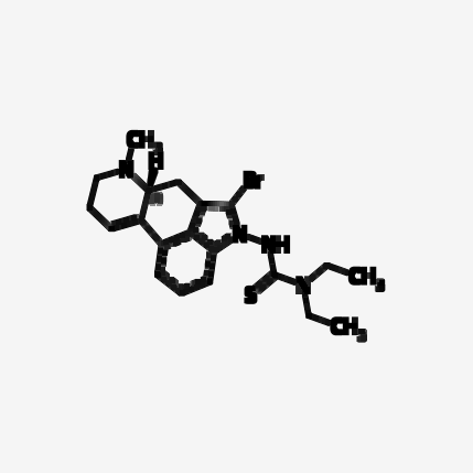 CCN(CC)C(=S)Nn1c(Br)c2c3c(cccc31)C1=CCCN(C)[C@@H]1C2